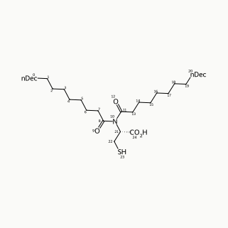 CCCCCCCCCCCCCCCCCC(=O)N(C(=O)CCCCCCCCCCCCCCCCC)[C@@H](CS)C(=O)O